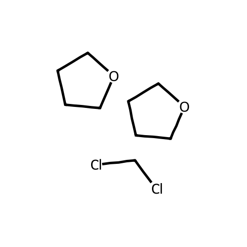 C1CCOC1.C1CCOC1.ClCCl